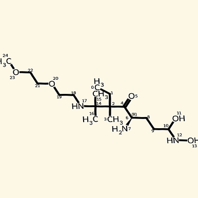 CCC(C)(C(=O)[C@H](N)CCC(O)NO)C(C)(C)NCCOCCOC